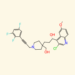 COc1ccc2ncc(Cl)c([C@@H](O)CCC3(CO)CCN(CC#Cc4cc(F)cc(F)c4F)CC3)c2c1